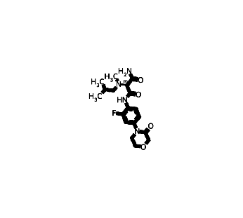 CC(C)CN(C)[C@@H](C(N)=O)C(=O)Nc1ccc(N2CCOCC2=O)cc1F